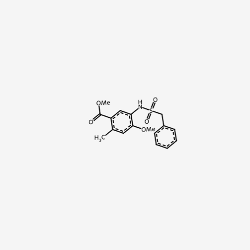 COC(=O)c1cc(NS(=O)(=O)Cc2ccccc2)c(OC)cc1C